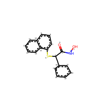 O=C(NO)C(Sc1cccc2ccccc12)c1ccccc1